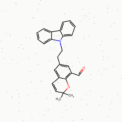 CC1(C)C=Cc2cc(CCn3c4ccccc4c4ccccc43)cc(C=O)c2O1